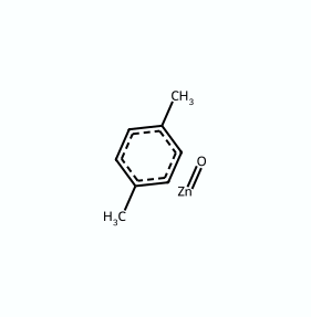 Cc1ccc(C)cc1.[O]=[Zn]